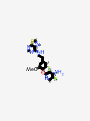 COc1cc(CCNc2ncnc3scnc23)ccc1Oc1ncc(F)c(N)c1F